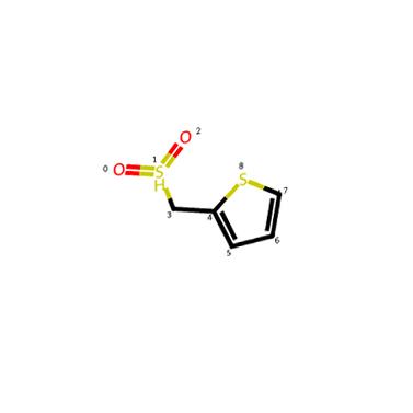 O=[SH](=O)Cc1cc[c]s1